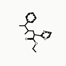 CCOC(=O)C(CC(C)C(C)c1ccccc1)c1ncco1